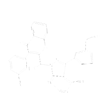 CCCOc1cccc(-c2nn(C(C)c3oc4ccccc4c(=O)c3-c3cccc(F)c3)c3ncnc(N)c23)c1